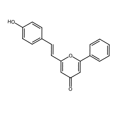 O=c1cc(C=Cc2ccc(O)cc2)oc(-c2ccccc2)c1